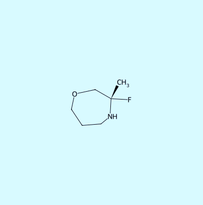 C[C@]1(F)COCCCN1